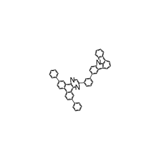 c1ccc(-c2ccc3c4ccc(-c5ccccc5)cc4c4nc(-c5cccc(-c6ccc7c(c6)c6cccc8c9ccccc9n7c86)c5)cnc4c3c2)cc1